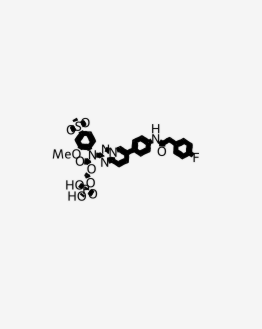 COc1cc(S(C)(=O)=O)ccc1N(C(=O)OCOP(=O)(O)O)c1nc2ccc(-c3ccc(NC(=O)Cc4ccc(F)cc4)cc3)cn2n1